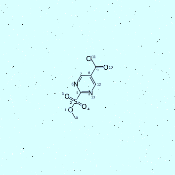 COS(=O)(=O)c1ncc(C(=O)Cl)cn1